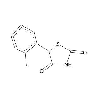 [CH]c1ccccc1C1SC(=O)NC1=O